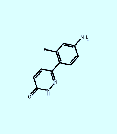 Nc1ccc(-c2ccc(=O)[nH]n2)c(F)c1